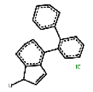 Cl.[Li][CH]1C=Cc2c(-c3ccccc3-c3ccccc3)cccc21